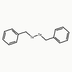 c1ccc(C[Te][Te]Cc2ccccc2)cc1